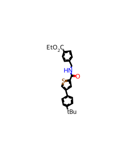 CCOC(=O)c1ccc(CNC(=O)c2cc(-c3ccc(C(C)(C)C)cc3)cs2)cc1